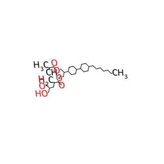 C=C(C)C(=O)OCC(COC(=O)C(=C)CC(CO)CO)C1CCC(C2CCC(CCCCCCC)CC2)CC1